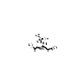 NCCNC[CH2][Na].O=S(=O)(O)O